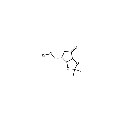 CC1(C)OC2C(=O)C[C@@H](COS)C2O1